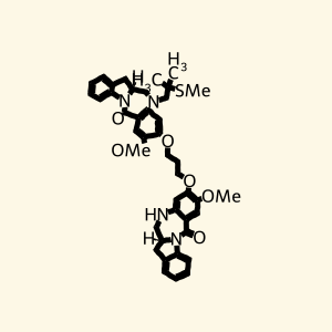 COc1cc2c(cc1OCCCOc1cc3c(cc1OC)C(=O)N1c4ccccc4C[C@H]1CN3CC(C)(C)SC)NC[C@@H]1Cc3ccccc3N1C2=O